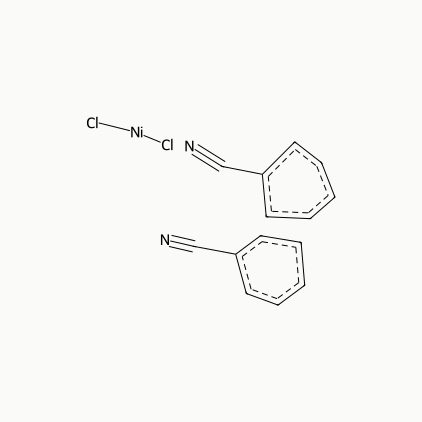 N#Cc1ccccc1.N#Cc1ccccc1.[Cl][Ni][Cl]